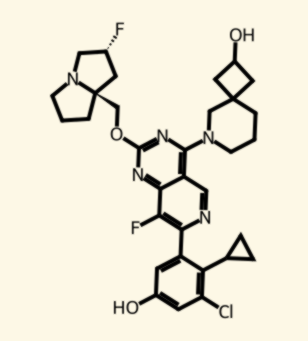 Oc1cc(Cl)c(C2CC2)c(-c2ncc3c(N4CCCC5(CC(O)C5)C4)nc(OC[C@@]45CCCN4C[C@H](F)C5)nc3c2F)c1